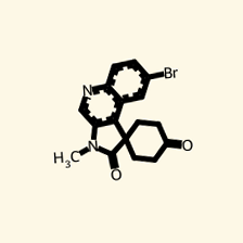 CN1C(=O)C2(CCC(=O)CC2)c2c1cnc1ccc(Br)cc21